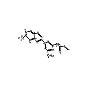 C=CC(=O)Nc1cc(OC)cc(-c2ccc3cnc(N)nc3c2)c1